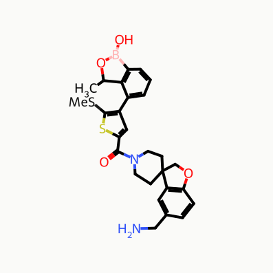 CSc1sc(C(=O)N2CCC3(CC2)COc2ccc(CN)cc23)cc1-c1cccc2c1C(C)OB2O